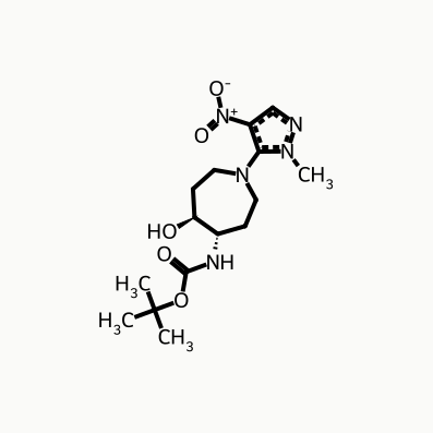 Cn1ncc([N+](=O)[O-])c1N1CC[C@H](NC(=O)OC(C)(C)C)[C@@H](O)CC1